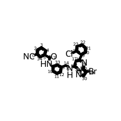 N#Cc1cccc(C(=O)Nc2cccc(CNc3cc(-c4ccccc4Cl)nc4c(Br)cnn34)c2)c1